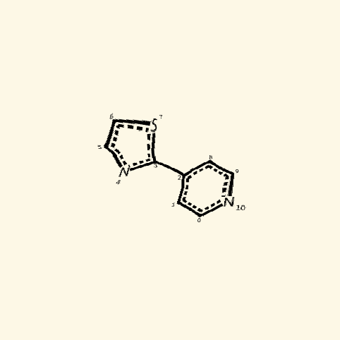 [c]1cc(-c2nccs2)ccn1